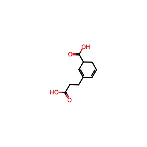 O=C(O)CCC1=CC(C(=O)O)CC=C1